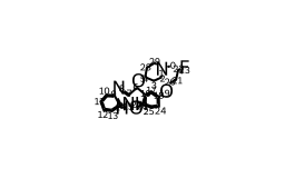 CN1CCC(OC(c2nc3ccccc3[nH]2)c2cc(OCCCF)ccc2O)CC1